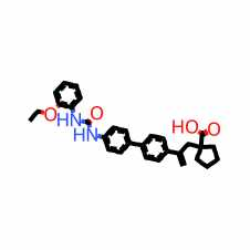 C=C(CC1(C(=O)O)CCCC1)c1ccc(-c2ccc(NC(=O)Nc3ccccc3OCC)cc2)cc1